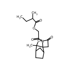 CCC(C)C(=O)OCC(=O)N1C(=O)CC12C1CCC(C1)C2(C)C